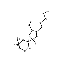 CCCCCCCC(C)(CCCC)N1CCCC(C)(S)C1